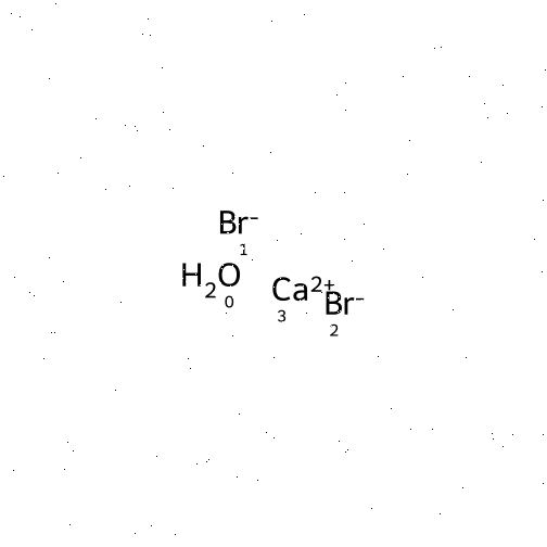 O.[Br-].[Br-].[Ca+2]